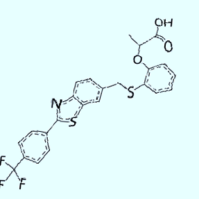 CC(Oc1ccccc1SCc1ccc2nc(-c3ccc(C(F)(F)F)cc3)sc2c1)C(=O)O